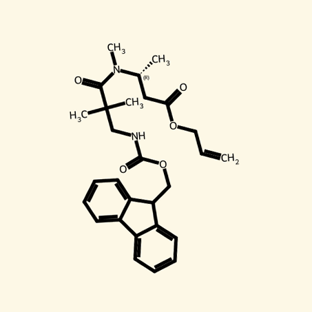 C=CCOC(=O)C[C@@H](C)N(C)C(=O)C(C)(C)CNC(=O)OCC1c2ccccc2-c2ccccc21